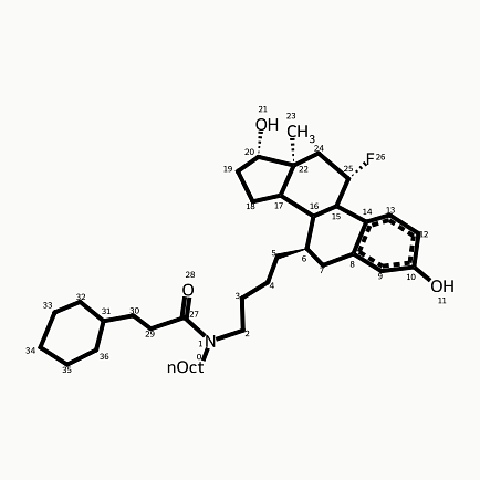 CCCCCCCCN(CCCC[C@@H]1Cc2cc(O)ccc2C2C1C1CC[C@H](O)[C@@]1(C)C[C@@H]2F)C(=O)CCC1CCCCC1